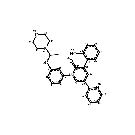 CC(Oc1cccc(-n2cc(-c3ccccn3)cc(-c3ccccc3C#N)c2=O)c1)N1CCOCC1